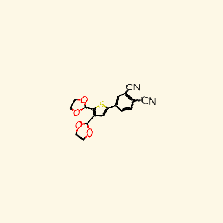 N#Cc1ccc(-c2cc(C3OCCO3)c(C3OCCO3)s2)cc1C#N